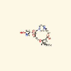 COc1cc2cc(c1OC)OCCCC(OC(=O)c1ccc(O)nc1)CCN1CCCN(CCCOC2=O)CC1